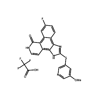 COc1cncc(Sc2nc3c4ccc(F)cc4c4c(=O)[nH]ccc4c3[nH]2)c1.O=C(O)C(F)(F)F